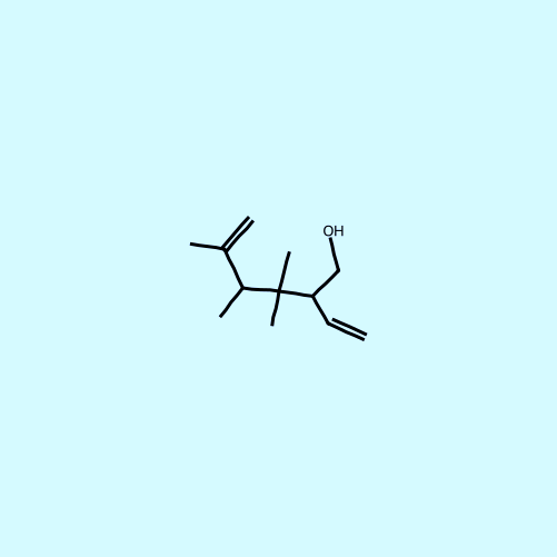 C=CC(CO)C(C)(C)C(C)C(=C)C